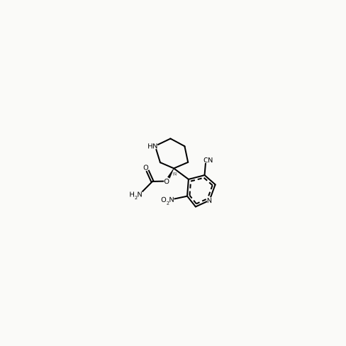 N#Cc1cncc([N+](=O)[O-])c1[C@@]1(OC(N)=O)CCCNC1